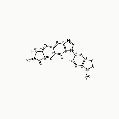 CC(=O)N1CCc2cc(-n3cnc4ccc(C=C5SC(=O)NC5=O)nc43)ccc21